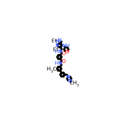 CCc1nc2c(cnn2CC)c(NC2CCOCC2)c1CNC(=O)c1cccc(C(=O)NCc2cc(C)cc(-c3cccc(CN4CCN(C)CC4)c3)c2)c1